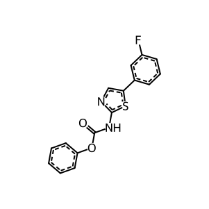 O=C(Nc1ncc(-c2cccc(F)c2)s1)Oc1ccccc1